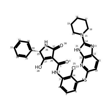 O=C(Nc1cccc(Sc2ccc3nc(N4CCCCC4)[nH]c3n2)c1Cl)C1=C(O)[C@H](c2ccccc2)NC1=O